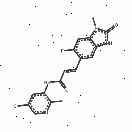 Cc1ncc(Cl)cc1NC(=O)/C=C/c1cc2[nH]c(=O)n(C)c2cc1F